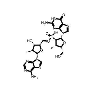 Nc1nc2c(ncn2[C@@H]2O[C@H](CO)[C@H](F)[C@H]2P(=O)(S)OC[C@H]2O[C@@H](n3cnc4c(N)ncnc43)[C@@H](F)[C@@H]2O)c(=O)[nH]1